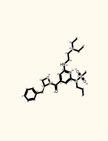 CCCN(c1cc(C(=O)N2OC[C@@H]2Cc2ccccc2)cc(NCCN(CC)CC)n1)S(C)(=O)=O